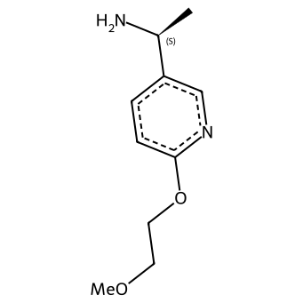 COCCOc1ccc([C@H](C)N)cn1